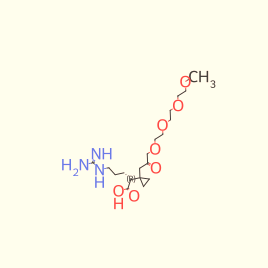 COCCOCCOCCOCC(=O)CC1([C@@H](CCCNC(=N)N)C(=O)O)CC1